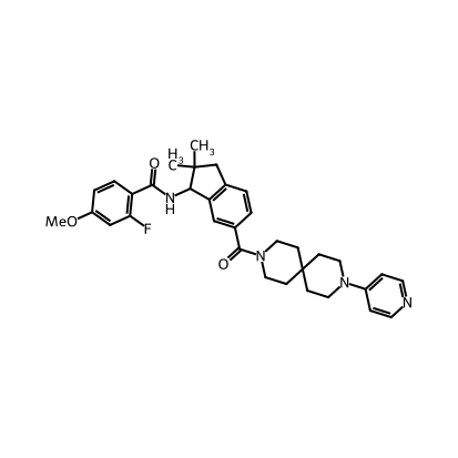 COc1ccc(C(=O)NC2c3cc(C(=O)N4CCC5(CC4)CCN(c4ccncc4)CC5)ccc3CC2(C)C)c(F)c1